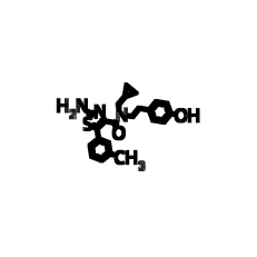 Cc1cccc(-c2sc(N)nc2C(=O)N(CCc2ccc(O)cc2)CC2CC2)c1